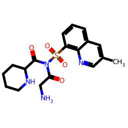 Cc1cnc2c(S(=O)(=O)N(C(=O)CN)C(=O)C3CCCCN3)cccc2c1